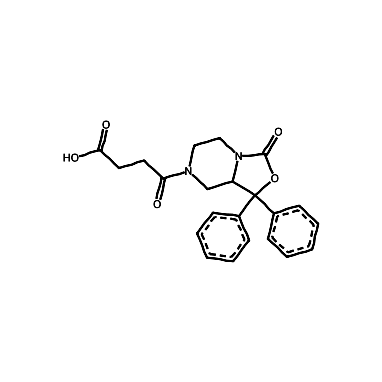 O=C(O)CCC(=O)N1CCN2C(=O)OC(c3ccccc3)(c3ccccc3)C2C1